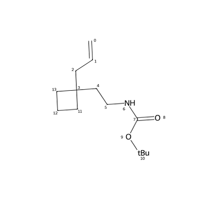 C=CCC1(CCNC(=O)OC(C)(C)C)CCC1